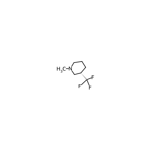 CN1CCC[C@H](C(F)(F)F)C1